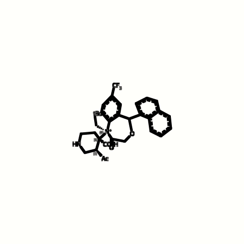 CC(=O)[C@H]1CNCC[C@]1(C(=O)O)[N@+]1(CC(C)(C)C)C(=O)COC(c2cccc3ccccc23)c2cc(C(F)(F)F)ccc21